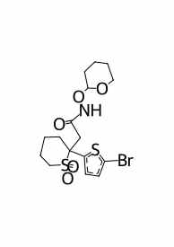 O=C(CC1(c2ccc(Br)s2)CCCCS1(=O)=O)NOC1CCCCO1